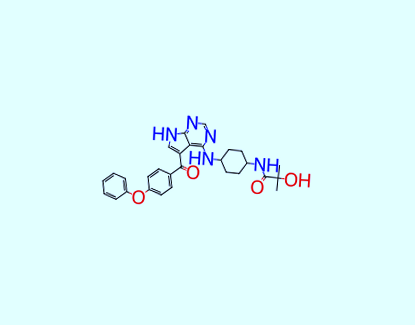 CC(C)(O)C(=O)NC1CCC(Nc2ncnc3[nH]cc(C(=O)c4ccc(Oc5ccccc5)cc4)c23)CC1